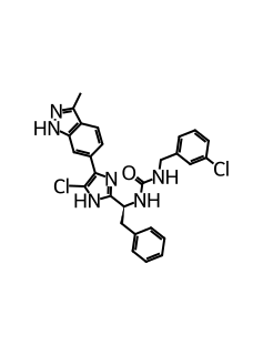 Cc1n[nH]c2cc(-c3nc([C@H](Cc4ccccc4)NC(=O)NCc4cccc(Cl)c4)[nH]c3Cl)ccc12